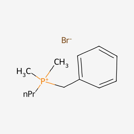 CCC[P+](C)(C)Cc1ccccc1.[Br-]